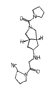 N#CC1CCCN1C(=O)CNC1C[C@@H]2CN(C(=O)N3CCCC3)C[C@@H]2C1